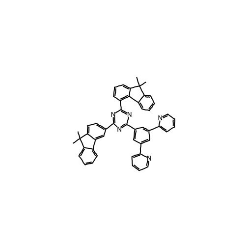 CC1(C)c2ccccc2-c2cc(-c3nc(-c4cc(-c5ccccn5)cc(-c5ccccn5)c4)nc(-c4cccc5c4-c4ccccc4C5(C)C)n3)ccc21